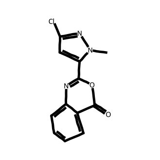 Cn1nc(Cl)cc1-c1nc2ccccc2c(=O)o1